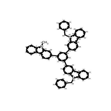 Cn1c2ccccc2c2ccc(-c3cc(-c4ccc5c(c4)c4ccccc4n5Cc4ccccc4)cc(-c4ccc5c6ccccc6n(Cc6ccccc6)c5c4)c3)cc21